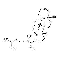 CC(C)CCC[C@@H](C)[C@H]1CC[C@H]2[C@@H]3CC[C@@]4(O)CC=CC[C@]4(C)[C@H]3CC[C@]12C